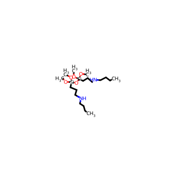 CCCCNCCC[Si](OC)(OC)O[Si](CCCNCCCC)(OC)OC